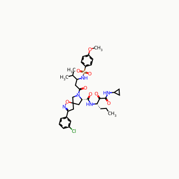 CCC[C@H](NC(=O)[C@@H]1CC2(CC(c3cccc(Cl)c3)=NO2)CN1C(=O)CC(NS(=O)(=O)c1ccc(OC)cc1)C(C)C)C(=O)C(=O)NC1CC1